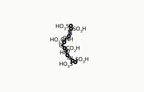 O=C(c1ccc(C(=O)Nc2ccc(/N=N/c3cc(S(=O)(=O)O)c4cccc(S(=O)(=O)O)c4c3)cc2)c(C(=O)O)c1)c1ccc(C(=O)Nc2ccc(/N=N/c3cc(S(=O)(=O)O)c4cccc(S(=O)(=O)O)c4c3)cc2)c(C(=O)O)c1